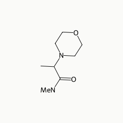 CNC(=O)C(C)N1CCOCC1